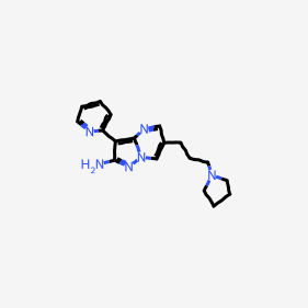 Nc1nn2cc(CCCN3CCCC3)cnc2c1-c1ccccn1